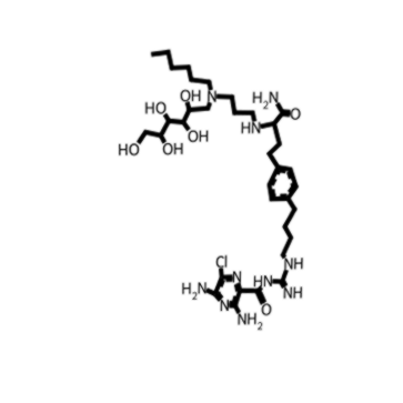 CCCCCCN(CCCNC(CCc1ccc(CCCCNC(=N)NC(=O)c2nc(Cl)c(N)nc2N)cc1)C(N)=O)CC(O)C(O)C(O)C(O)CO